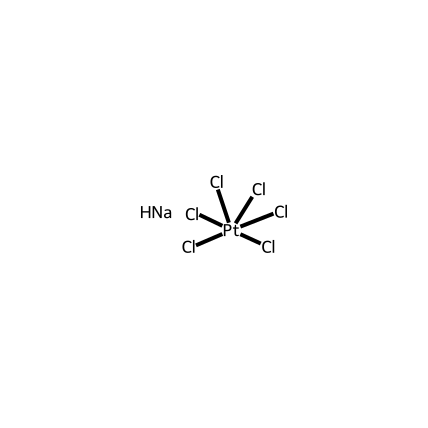 [Cl][Pt]([Cl])([Cl])([Cl])([Cl])[Cl].[NaH]